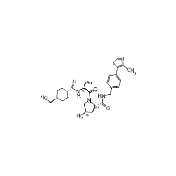 Cc1ncsc1-c1ccc(CNC(=O)[C@@H]2C[C@@H](O)CN2C(=O)[C@@H](NC(=O)[C@H]2CC[C@H](CO)CC2)C(C)(C)C)cc1